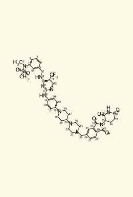 CN(c1cccc(CNc2nc(Nc3ccc(N4CCC(N5CCN(Cc6ccc7c(c6)C(=O)N(C6CCC(=O)NC6=O)C7=O)CC5)CC4)cc3)ncc2C(F)(F)F)c1)S(C)(=O)=O